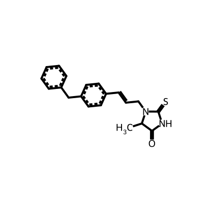 CC1C(=O)NC(=S)N1CC=Cc1ccc(Cc2ccccc2)cc1